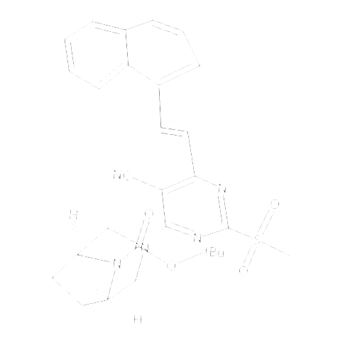 CC(C)(C)OC(=O)N1[C@@H]2CC[C@H]1CN(c1nc(S(C)(=O)=O)nc(/C=C/c3cccc4ccccc34)c1C#N)C2